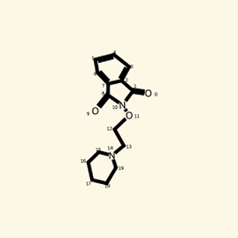 O=C1c2ccccc2C(=O)N1OCCN1CCCCC1